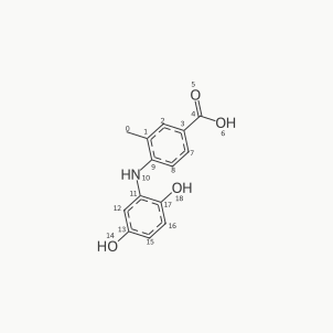 Cc1cc(C(=O)O)ccc1Nc1cc(O)ccc1O